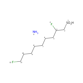 N.O=S(=O)(O)CC(F)CCCCCCCF